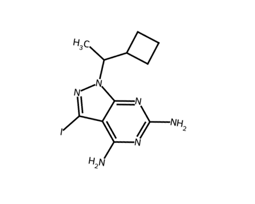 CC(C1CCC1)n1nc(I)c2c(N)nc(N)nc21